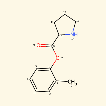 Cc1ccccc1OC(=O)C1CCCN1